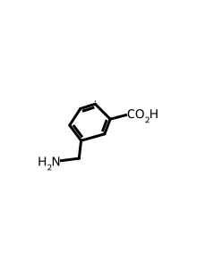 NCc1cc[c]c(C(=O)O)c1